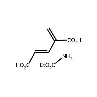 C=C(C=CC(=O)O)C(=O)O.CCOC(N)=O